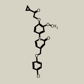 COc1cc(-n2ccc(COc3ccc(Cl)cc3)cc2=O)ccc1OCC(=O)C1CC1